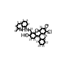 Cc1ccc2cccc(NCc3c(O)ccc4c(-c5ccccc5C)c5cc(Cl)c(=O)cc-5oc34)c2n1